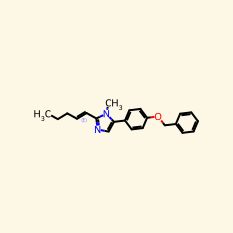 CCC/C=C/c1ncc(-c2ccc(OCc3ccccc3)cc2)n1C